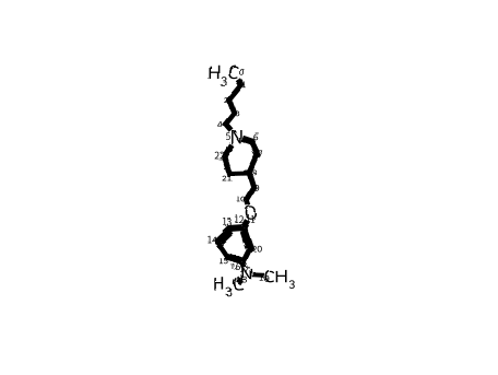 CCCCCN1CCC(CCOc2cccc(N(C)C)c2)CC1